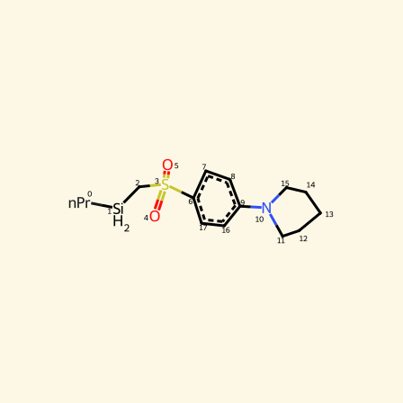 CCC[SiH2]CS(=O)(=O)c1ccc(N2CCCCC2)cc1